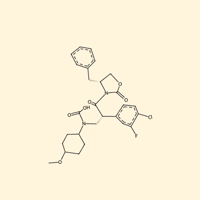 COC1CCC(N(C[C@H](C(=O)N2C(=O)OC[C@H]2Cc2ccccc2)c2ccc(Cl)c(F)c2)C(=O)O)CC1